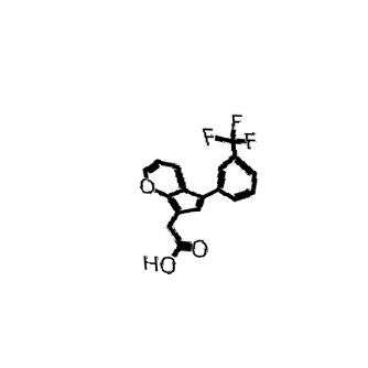 O=C(O)Cc1cc(-c2cccc(C(F)(F)F)c2)c2cccoc1-2